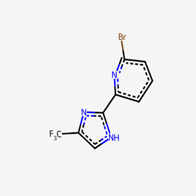 FC(F)(F)c1c[nH]c(-c2cccc(Br)n2)n1